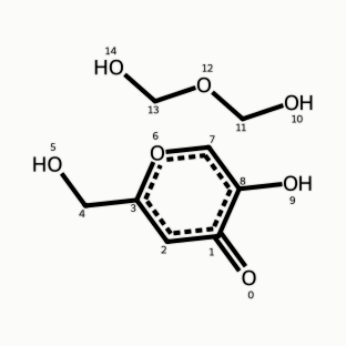 O=c1cc(CO)occ1O.OCOCO